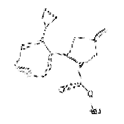 C=C1CC(c2ccccc2C2CC2)N(C(=O)OC(C)(C)C)C1